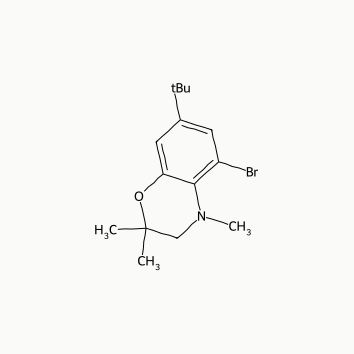 CN1CC(C)(C)Oc2cc(C(C)(C)C)cc(Br)c21